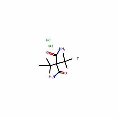 CC(C)(C)C(C(N)=O)(C(N)=O)C(C)(C)C.Cl.Cl.[Ti]